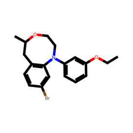 CCOc1cccc(N2CCOC(C)Cc3ccc(Br)cc32)c1